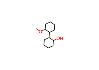 COC1CCCCC1C1CCCCC1O